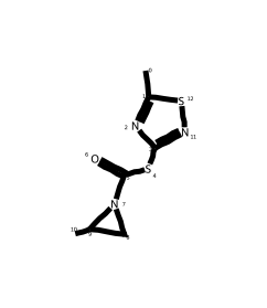 Cc1nc(SC(=O)N2CC2C)ns1